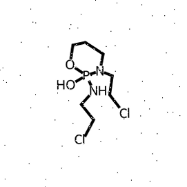 O[P]1(NCCCl)OCCCN1CCCl